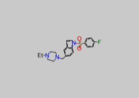 CCN1CCN(Cc2ccc3c(ccn3S(=O)(=O)c3ccc(F)cc3)c2)CC1